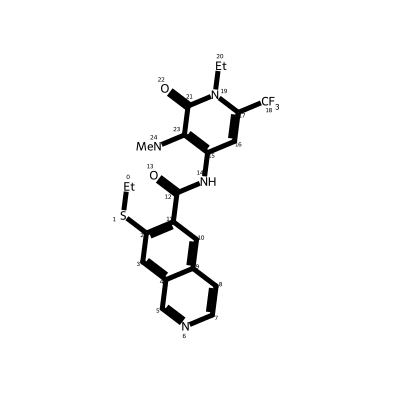 CCSc1cc2cnccc2cc1C(=O)Nc1cc(C(F)(F)F)n(CC)c(=O)c1NC